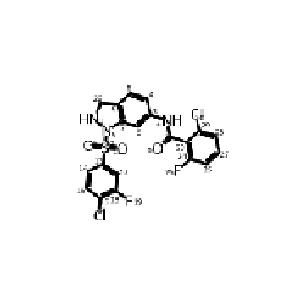 O=C(Nc1ccc2c(c1)N(S(=O)(=O)c1ccc(Cl)c(F)c1)NC2)c1c(F)cccc1Cl